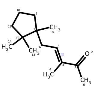 CC(=O)/C(C)=C/CC1(C)CCCC1(C)C